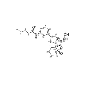 CCCCC(=O)Nc1cccc(-c2ccc([C@@]3(CC(=O)NO)CCCCS3(=O)=O)s2)c1